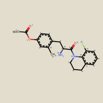 COC(=O)Oc1ccc(C[C@H](N)C(=O)N2CCCc3cccc(F)c32)c(C)c1